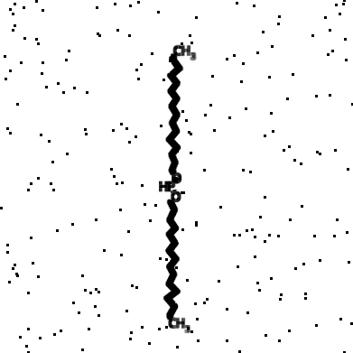 CCCCCCCCCCCCCCCCOPOCCCCCCCCCCCCCCCC